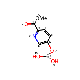 COC(=O)c1ccc(OB(O)O)cn1